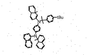 CC(C)(C)c1ccc(C(C)(C)N(C2=CC3(C)C=CC=CC3C=C2)c2ccc(N(c3cccc4ccccc34)C3(C)C=CC=C4C=CC=CC43)cc2)cc1